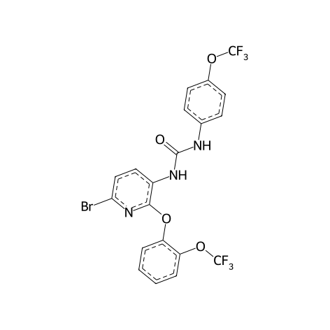 O=C(Nc1ccc(OC(F)(F)F)cc1)Nc1ccc(Br)nc1Oc1ccccc1OC(F)(F)F